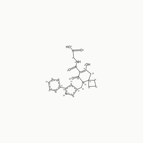 O=C(O)CNC(=O)C1=C(O)CC2(CCC2)N(Cc2cnc(-c3ccccc3)s2)C1=O